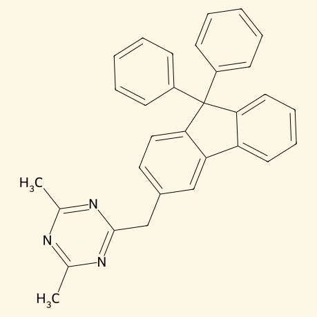 Cc1nc(C)nc(Cc2ccc3c(c2)-c2ccccc2C3(c2ccccc2)c2ccccc2)n1